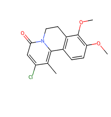 COc1ccc2c(c1OC)CCn1c-2c(C)c(Cl)cc1=O